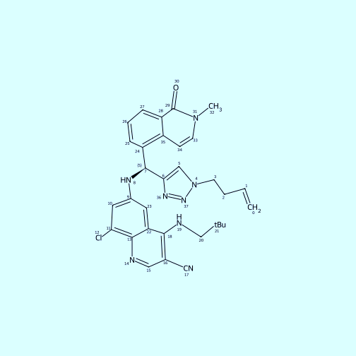 C=CCCn1cc([C@@H](Nc2cc(Cl)c3ncc(C#N)c(NCC(C)(C)C)c3c2)c2cccc3c(=O)n(C)ccc23)nn1